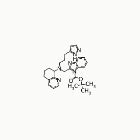 CC(C)(C)OC(=O)n1c(CN(CCCc2ccn[nH]2)C2CCCc3cccnc32)nc2ccccc21